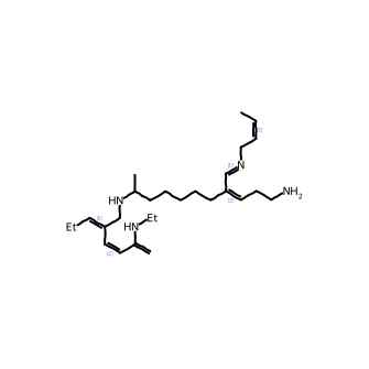 C=C(/C=C\C(=C/CC)CNC(C)CCCCCC(=C/CCN)/C=N/C/C=C\C)NCC